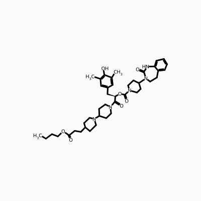 CCCCOC(=O)CCC1CCN(C2CCN(C(=O)[C@@H](Cc3cc(C)c(O)c(C)c3)OC(=O)N3CCC(N4CCc5ccccc5NC4=O)CC3)CC2)CC1